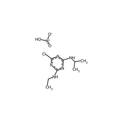 CCNc1nc(Cl)nc(NC(C)C)n1.O=[N+]([O-])O